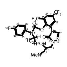 [2H]C([2H])([2H])N(C(=O)Oc1c(-n2cnn(CC(O)CNC)c2=O)cc(C(F)(F)F)cc1C(F)(F)F)c1ccc(F)cc1